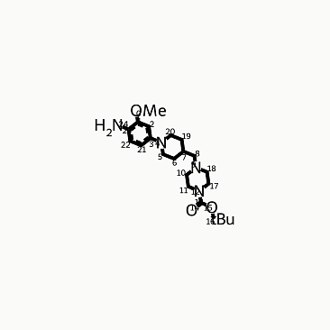 COc1cc(N2CCC(CN3CCN(C(=O)OC(C)(C)C)CC3)CC2)ccc1N